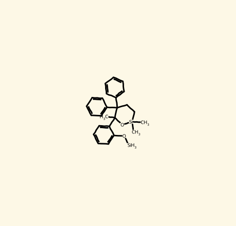 CC1(c2ccccc2O[SiH3])O[Si](C)(C)CCC1(c1ccccc1)c1ccccc1